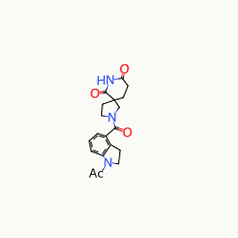 CC(=O)N1CCc2c(C(=O)N3CCC4(CCC(=O)NC4=O)C3)cccc21